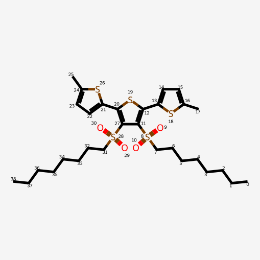 CCCCCCCCS(=O)(=O)c1c(-c2ccc(C)s2)sc(-c2ccc(C)s2)c1S(=O)(=O)CCCCCCCC